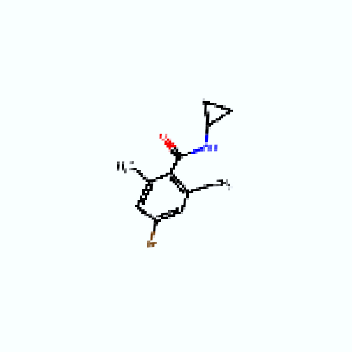 Cc1cc(Br)cc(C)c1C(=O)NC1CC1